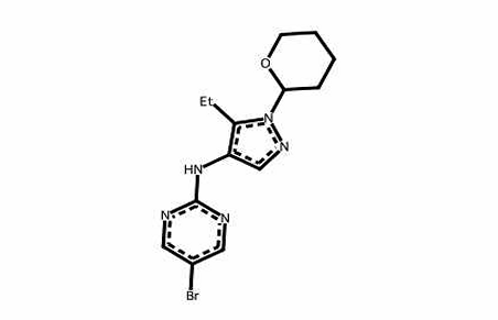 CCc1c(Nc2ncc(Br)cn2)cnn1C1CCCCO1